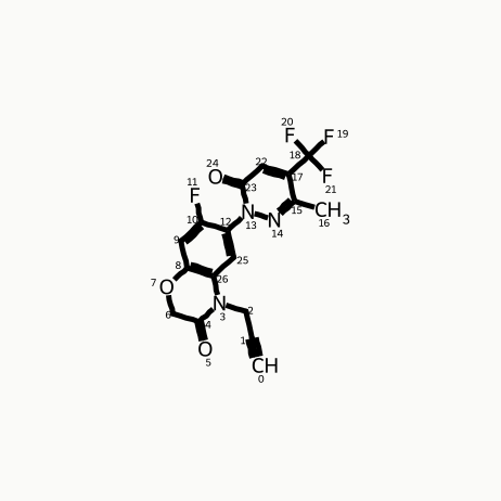 C#CCN1C(=O)COc2cc(F)c(-n3nc(C)c(C(F)(F)F)cc3=O)cc21